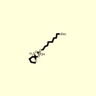 CCCCCCCCCCCCCCCCCCOP(=O)(O)OC1([SiH3])CCCCO1